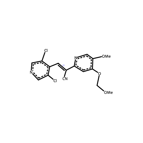 COCOc1cc(/C(C#N)=C/c2c(Cl)cncc2Cl)ncc1OC